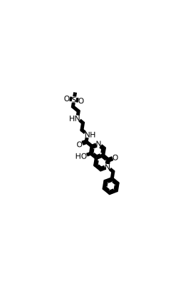 CS(=O)(=O)CCNCCNC(=O)c1ncc2c(=O)n(Cc3ccccc3)ccc2c1O